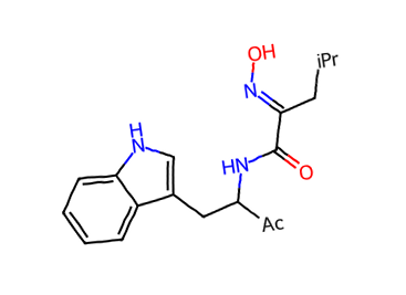 CC(=O)C(Cc1c[nH]c2ccccc12)NC(=O)C(CC(C)C)=NO